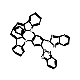 c1ccc2nn(-c3cc(-n4c5ccccc5c5ccccc54)c(-n4c5ccccc5c5ccccc54)cc3-n3nc4ccccc4n3)nc2c1